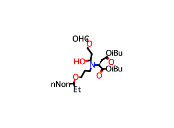 CCCCCCCCCC(CC)OCCCN(C(O)CCOC=O)[C@@H](CC(=O)OCC(C)C)C(=O)OCC(C)C